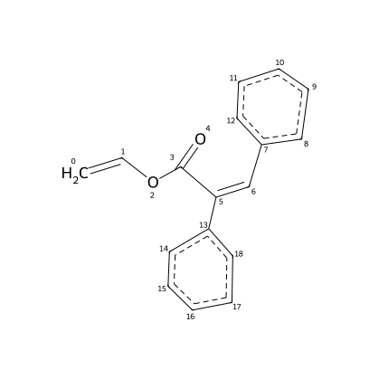 C=COC(=O)C(=Cc1ccccc1)c1ccccc1